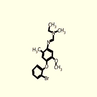 CCN(C)C=Nc1cc(OC)c(Oc2ccccc2Br)cc1C